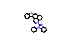 C1=CC(n2c(N3C=Cc4c5c(cc6sc7ccccc7c46)=CCCC=53)nc3ccccc32)=CCC1